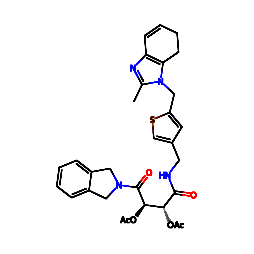 CC(=O)O[C@@H](C(=O)NCc1csc(Cn2c(C)nc3c2CCC=C3)c1)[C@@H](OC(C)=O)C(=O)N1Cc2ccccc2C1